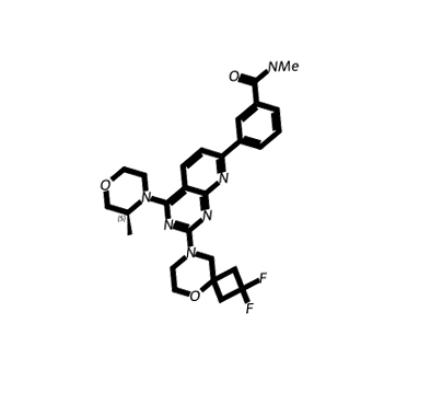 CNC(=O)c1cccc(-c2ccc3c(N4CCOC[C@@H]4C)nc(N4CCOC5(C4)CC(F)(F)C5)nc3n2)c1